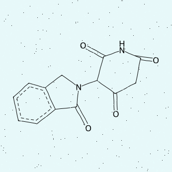 O=C1CC(=O)C(N2Cc3ccccc3C2=O)C(=O)N1